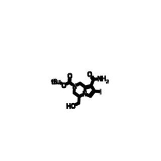 CC(C)(C)OC(=O)N1Cc2c(C(N)=O)c(I)cn2C(CO)C1